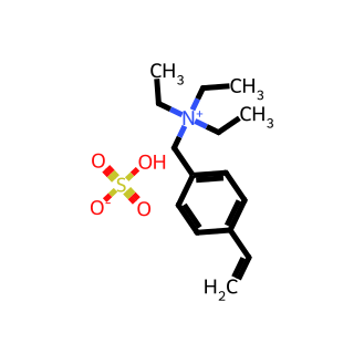 C=Cc1ccc(C[N+](CC)(CC)CC)cc1.O=S(=O)([O-])O